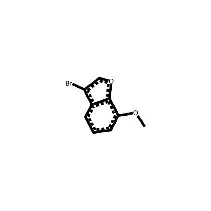 COc1cccc2c(Br)coc12